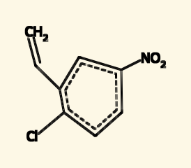 C=Cc1cc([N+](=O)[O-])ccc1Cl